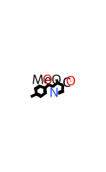 COC1C(=C=O)C=CN=C1C(=O)c1ccc(C)cc1